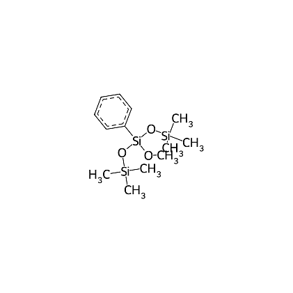 CO[Si](O[Si](C)(C)C)(O[Si](C)(C)C)c1ccccc1